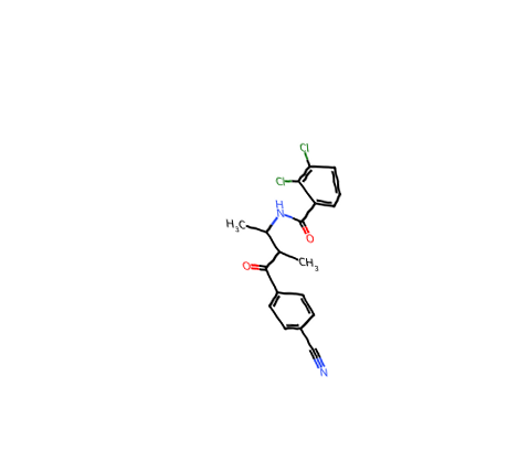 CC(NC(=O)c1cccc(Cl)c1Cl)C(C)C(=O)c1ccc(C#N)cc1